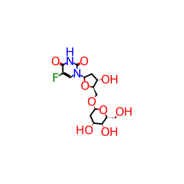 O=c1[nH]c(=O)n([C@H]2C[C@H](O)[C@@H](CO[C@H]3C[C@@H](O)[C@@H](O)[C@@H](CO)O3)O2)cc1F